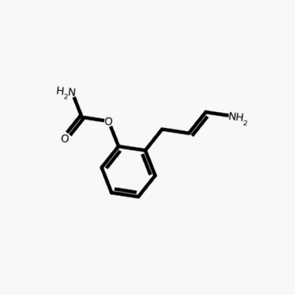 NC=CCc1ccccc1OC(N)=O